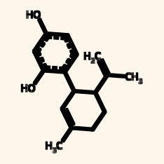 C=C(C)C1CCC(C)=CC1c1ccc(O)cc1O